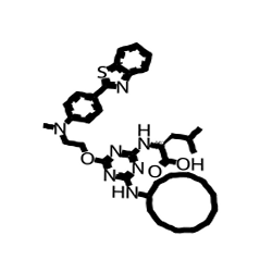 CC(C)C[C@H](Nc1nc(NC2CCCCCCCCCCC2)nc(OCCN(C)c2ccc(-c3nc4ccccc4s3)cc2)n1)C(=O)O